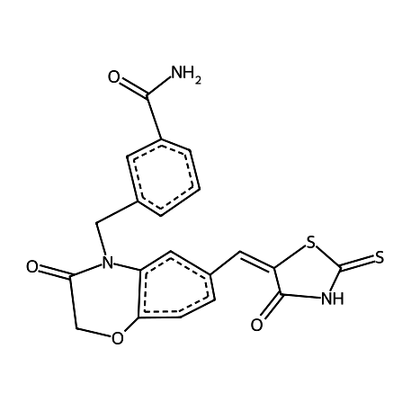 NC(=O)c1cccc(CN2C(=O)COc3ccc(C=C4SC(=S)NC4=O)cc32)c1